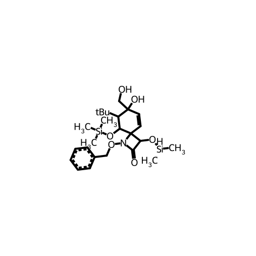 C[SiH](C)OC1C(=O)N(OCc2ccccc2)C12C=CC(O)(CO)C(C(C)(C)C)C2O[Si](C)(C)C